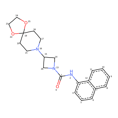 O=C(Nc1cccc2ccccc12)N1CC(N2CCC3(CC2)OCCO3)C1